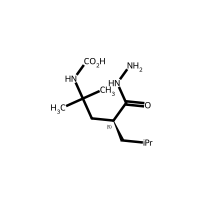 CC(C)C[C@@H](CC(C)(C)NC(=O)O)C(=O)NN